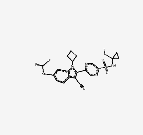 N#Cc1c(-c2ccc(S(=O)(=O)NC3(CF)CC3)cn2)n(C2CCC2)c2cc(OC(F)F)ccc12